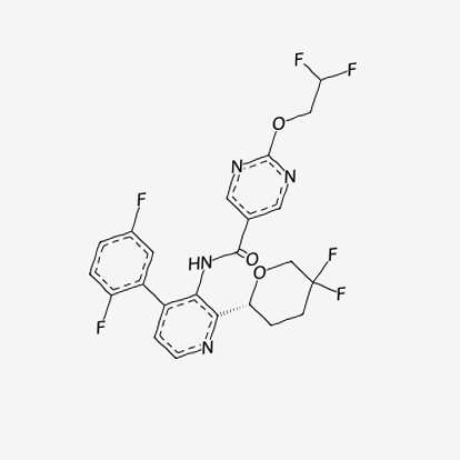 O=C(Nc1c(-c2cc(F)ccc2F)ccnc1[C@H]1CCC(F)(F)CO1)c1cnc(OCC(F)F)nc1